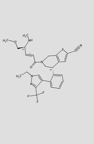 CCn1cc(-c2ccccc2[C@@H]2CN(C(=O)/C=C/[C@@H](COC)NC)Cc3sc(C#N)cc32)c(C(F)(F)F)n1